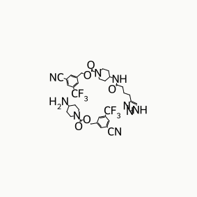 N#Cc1cc(COC(=O)N2CCC(N)CC2)cc(C(F)(F)F)c1.N#Cc1cc(COC(=O)N2CCC(NC(=O)CCCc3c[nH]nn3)CC2)cc(C(F)(F)F)c1